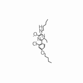 CCCCCNc1nc(CC)c(-c2ccc(OCCCCC)cc2Cl)nc1OC